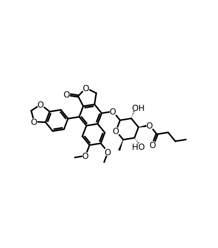 CCCC(=O)O[C@H]1[C@H](O)[C@@H](C)OC(Oc2c3c(c(-c4ccc5c(c4)OCO5)c4cc(OC)c(OC)cc24)C(=O)OC3)[C@@H]1O